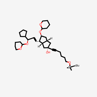 CC(C)(C)[Si](C)(C)OCCCCC#C[C@]1(O)C[C@H]2C[C@H](OC3CCCCO3)[C@@H](/C=C/[C@@H](OC3CCCCO3)C3CCCC3)[C@H]2C1